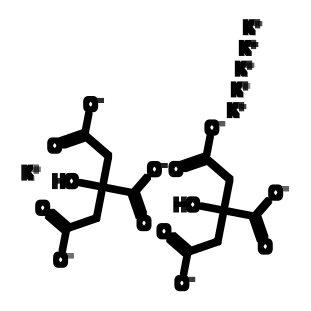 O=C([O-])CC(O)(CC(=O)[O-])C(=O)[O-].O=C([O-])CC(O)(CC(=O)[O-])C(=O)[O-].[K+].[K+].[K+].[K+].[K+].[K+]